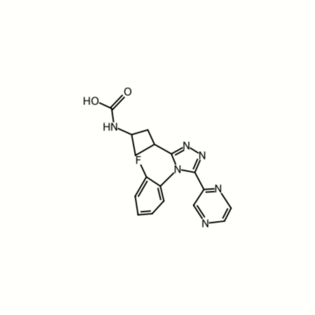 O=C(O)NC1CC(c2nnc(-c3cnccn3)n2-c2ccccc2F)C1